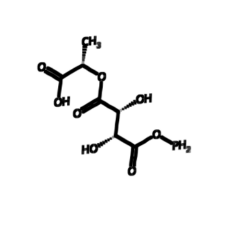 C[C@H](OC(=O)[C@H](O)[C@@H](O)C(=O)OP)C(=O)O